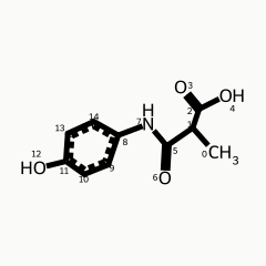 CC(C(=O)O)C(=O)Nc1ccc(O)cc1